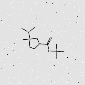 CC(C)[C@@]1(C)CCN(C(=O)OC(C)(C)C)C1